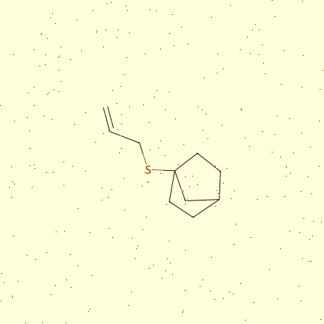 C=CCSC12CCC(CC1)C2